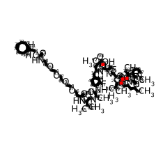 CCCCCCN(C(=O)[C@@H](NC(=O)[C@H]1CCCCN1C)[C@@H](C)CC)[C@H](C[C@@H](OC(C)=O)c1nc(C(=O)N[C@@H](Cc2ccc(NC(=O)[C@H](C)NC(=O)[C@@H](NC(=O)CCOCCOCCOCCOCCNC(=O)OCC3[C@H]4CCC#CCC[C@@H]34)C(C)C)c(F)c2)CC(C)(C)C(=O)O)cs1)C(C)C